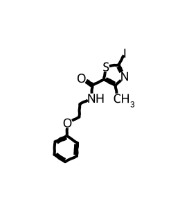 Cc1nc(I)sc1C(=O)NCCOc1ccccc1